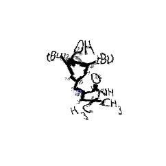 CC1(C)C/C(=C/c2cc(C(C)(C)C)c(O)c(C(C)(C)C)c2)C(=O)N1